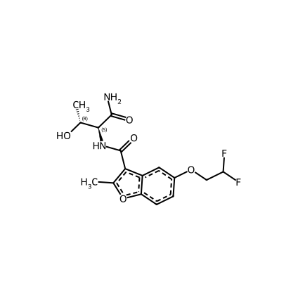 Cc1oc2ccc(OCC(F)F)cc2c1C(=O)N[C@H](C(N)=O)[C@@H](C)O